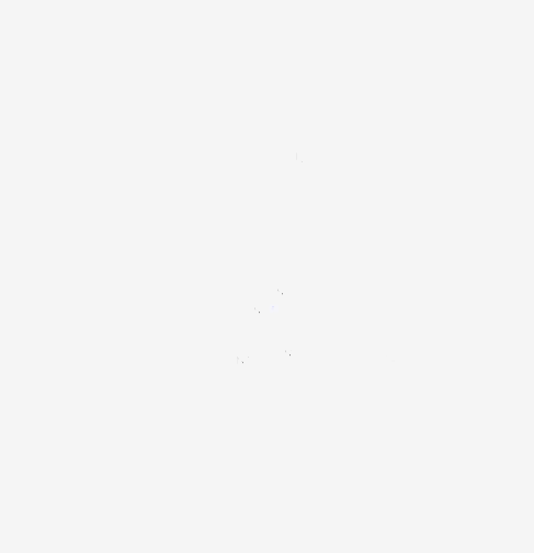 COc1ccc(/N=N/c2n(CCCBr)cc[n+]2CCCBr)cc1